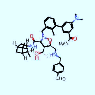 CNC(=O)c1cc(-c2cccc(CN3O[C@@H](CNCc4ccc(C=O)cc4)[C@@H]([C@H](C)O)[C@H]3C(=O)N[C@H]3C[C@H]4C[C@@H]([C@@H]3C)C4(C)C)c2C)cc(N(C)C)c1